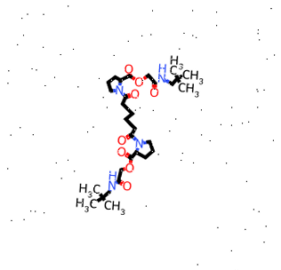 CC(C)(C)CNC(=O)COC(=O)C1CCCN1C(=O)CCCCC(=O)N1CCCC1C(=O)OCC(=O)NCC(C)(C)C